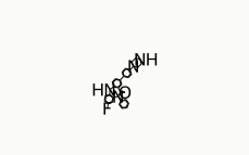 O=C1c2cc(-c3ccc(N4CCNCC4)cc3)ccc2Nc2ccc(F)cc2N1c1ccccc1